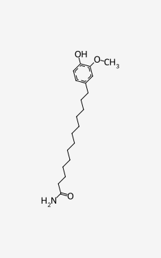 COc1cc(CCCCCCCCCCCCC(N)=O)ccc1O